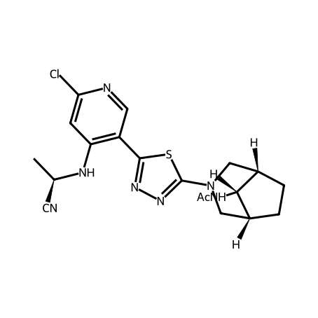 CC(=O)N[C@H]1[C@@H]2CC[C@H]1CN(c1nnc(-c3cnc(Cl)cc3N[C@H](C)C#N)s1)C2